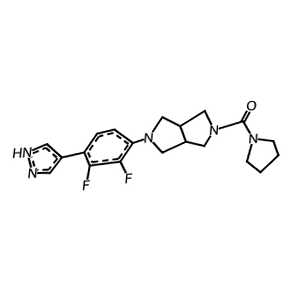 O=C(N1CCCC1)N1CC2CN(c3ccc(-c4cn[nH]c4)c(F)c3F)CC2C1